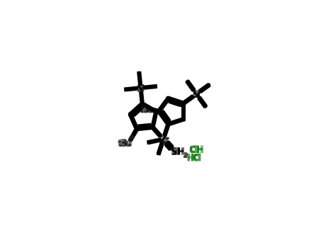 CC(C)(C)C1=[C]([Zr]([CH3])([CH3])(=[SiH2])[C]2=C(C(C)(C)C)C=C([Si](C)(C)C)C2)CC([Si](C)(C)C)=C1.Cl.Cl